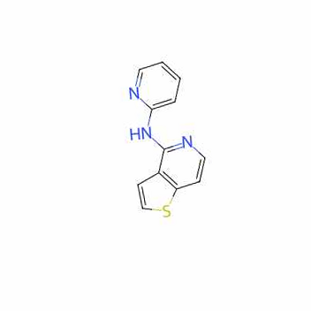 c1ccc(Nc2nccc3sccc23)nc1